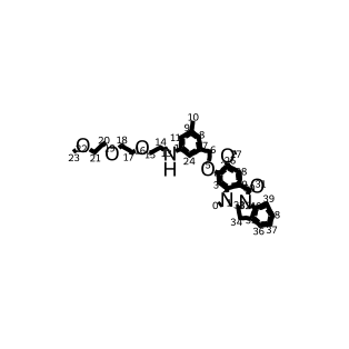 C=Nc1cc(OCc2cc(C)cc(NCCOCCOCCOC)c2)c(OC)cc1C(=O)N1CCc2ccccc21